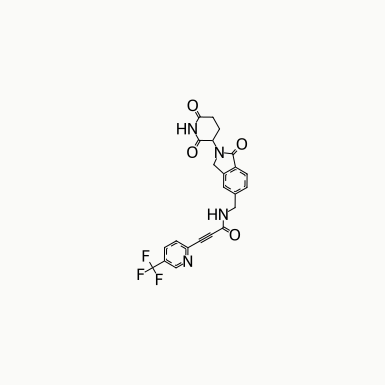 O=C(C#Cc1ccc(C(F)(F)F)cn1)NCc1ccc2c(c1)CN(C1CCC(=O)NC1=O)C2=O